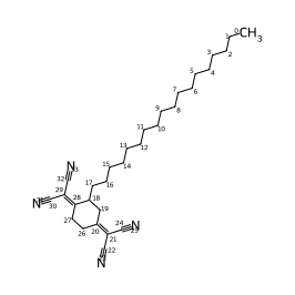 CCCCCCCCCCCCCCCCCCC1CC(=C(C#N)C#N)CCC1=C(C#N)C#N